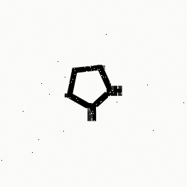 [CH]1C[CH]NN1